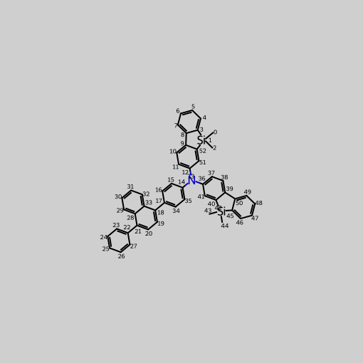 C[Si]1(C)c2ccccc2-c2ccc(N(c3ccc(-c4ccc(-c5ccccc5)c5ccccc45)cc3)c3ccc4c(c3)[Si](C)(C)c3ccccc3-4)cc21